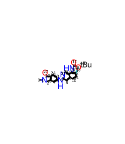 CN1Cc2cc(Nc3cc4ccc(F)c(NC(=O)OC(C)(C)C)c4cn3)ccc2C1=O